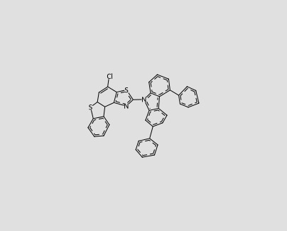 ClC1=CC2Sc3ccccc3C2c2nc(-n3c4cc(-c5ccccc5)ccc4c4c(-c5ccccc5)cccc43)sc21